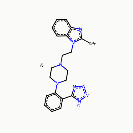 CCCc1nc2ccccc2n1CCN1CCN(c2ccccc2-c2nnn[nH]2)CC1.[K]